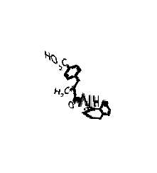 C[C@@H](Cc1ccc(C(=O)O)cc1)C(=O)N[C@@H]1CCCc2ccccc21